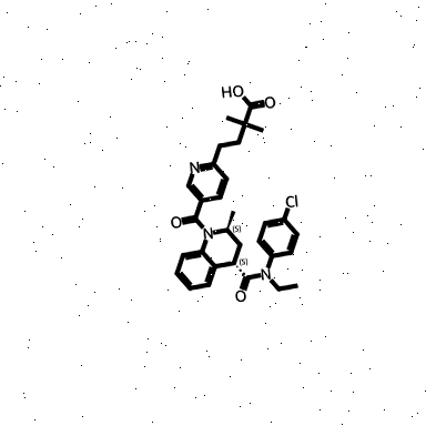 CCN(C(=O)[C@H]1C[C@H](C)N(C(=O)c2ccc(CCC(C)(C)C(=O)O)nc2)c2ccccc21)c1ccc(Cl)cc1